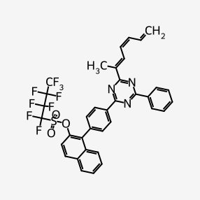 C=C/C=C\C=C(/C)c1nc(-c2ccccc2)nc(-c2ccc(-c3c(OS(=O)(=O)C(F)(F)C(F)(F)C(F)(F)C(F)(F)F)ccc4ccccc34)cc2)n1